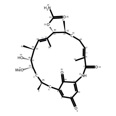 CO[C@H]1C[C@H](C)CC2=CC(=O)C=C(NC(=O)/C(C)=C/CC[C@H](C)[C@@H](OC(N)=O)/C(C)=C/[C@H](C)[C@H]1O)C2=O